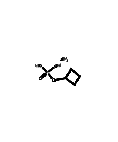 N.O=P(O)(O)OC1CCC1